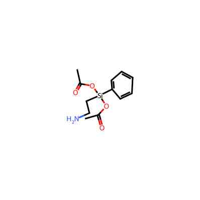 CC(=O)O[Si](CCN)(OC(C)=O)c1ccccc1